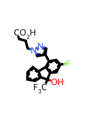 O=C(O)CCCn1cc(-c2cc(F)cc3c2-c2ccccc2C3(O)C(F)(F)F)cn1